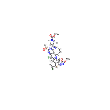 CC[S+]([O-])c1nc2c3c(nc(-c4ccc(F)c5sc(NC(=O)OC(C)(C)C)c(C#N)c45)c(F)c3n1)CCCCN2[C@@H]1CCN(C(=O)OC(C)(C)C)[C@@H]1C